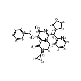 O=C1c2c(OCc3ccccc3)c(=O)nc(C(c3ccccn3)C3CCCC3)n2CCN1C1CC1